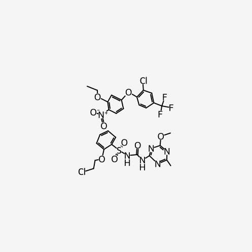 CCOc1cc(Oc2ccc(C(F)(F)F)cc2Cl)ccc1[N+](=O)[O-].COc1nc(C)nc(NC(=O)NS(=O)(=O)c2ccccc2OCCCl)n1